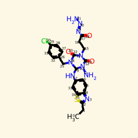 CCc1nc2ccc(NC3N(N)C(=O)N(CCC(=O)N=NN)C(=O)N3Cc3ccc(Cl)cc3)cc2s1